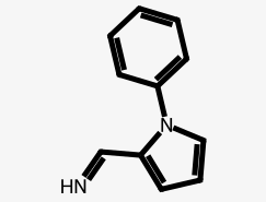 N=Cc1cccn1-c1ccccc1